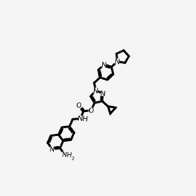 Nc1nccc2cc(CNC(=O)Oc3cn(Cc4ccc(N5CCCC5)nc4)nc3C3CC3)ccc12